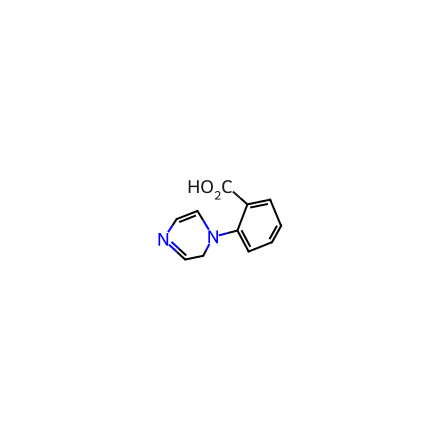 O=C(O)c1ccccc1N1C=CN=CC1